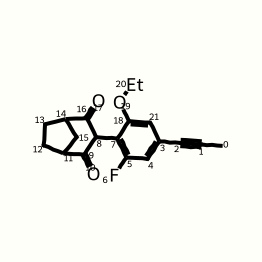 CC#Cc1cc(F)c(C2C(=O)C3CCC(C3)C2=O)c(OCC)c1